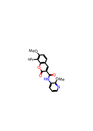 CCCc1c(OC)ccc2cc(C(=O)Nc3cccnc3OC)c(=O)oc12